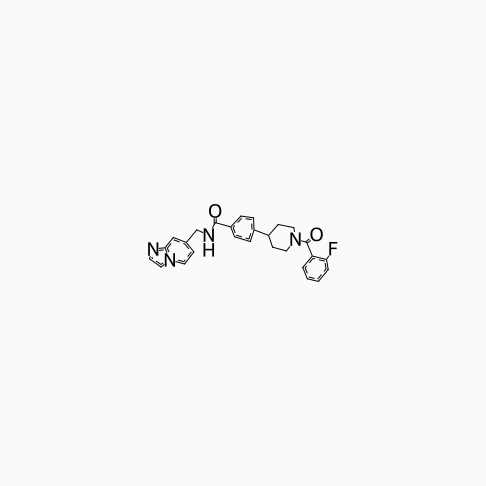 O=C(NCc1ccn2ccnc2c1)c1ccc(C2CCN(C(=O)c3ccccc3F)CC2)cc1